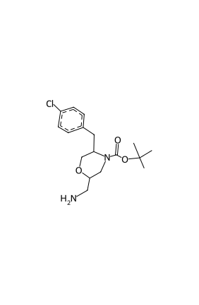 CC(C)(C)OC(=O)N1CC(CN)OCC1Cc1ccc(Cl)cc1